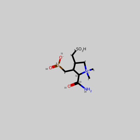 C[N+]1(C)CC(CS(=O)(=O)O)C(CS(=O)[O-])C1C(N)=O